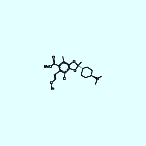 CCOC=Cc1c(Cl)c2c(c(C)c1C(=O)OC)OC(C)([C@H]1CC[C@H](N(C)C)CC1)O2